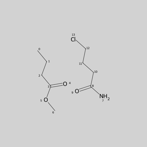 CCCC(=O)OC.NC(=O)CCCCl